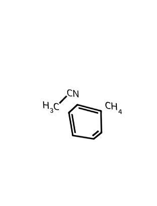 C.CC#N.c1ccccc1